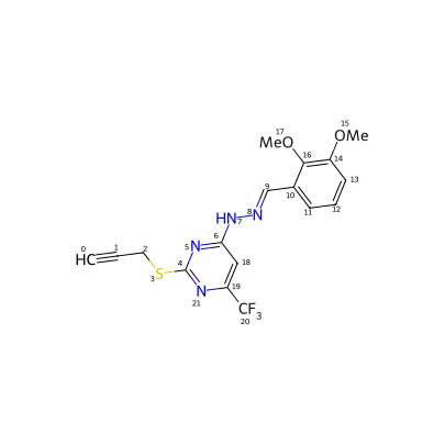 C#CCSc1nc(NN=Cc2cccc(OC)c2OC)cc(C(F)(F)F)n1